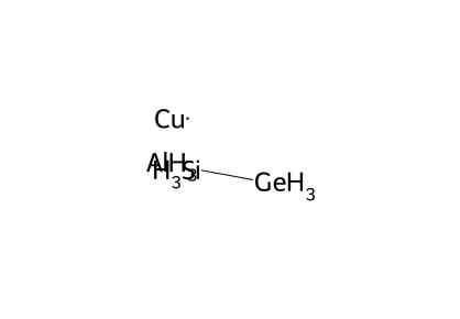 [AlH3].[Cu].[SiH3][GeH3]